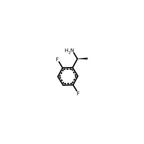 C[C@H](N)c1cc(F)ccc1F